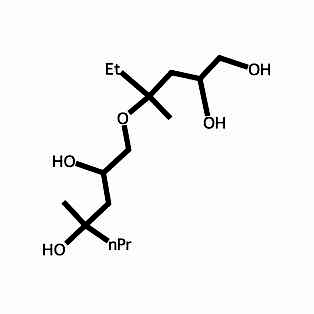 CCCC(C)(O)CC(O)COC(C)(CC)CC(O)CO